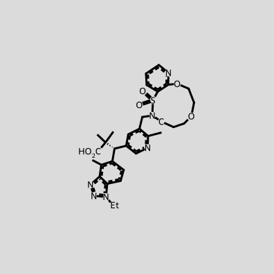 CCn1nnc2c(C)c([C@@H](c3cnc(C)c(CN4CCCOCCOc5ncccc5S4(=O)=O)c3)C(C)(C)C(=O)O)ccc21